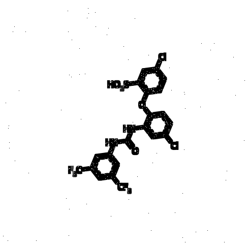 O=C(Nc1cc(C(F)(F)F)cc(C(F)(F)F)c1)Nc1cc(Cl)ccc1Oc1ccc(Cl)cc1S(=O)(=O)O